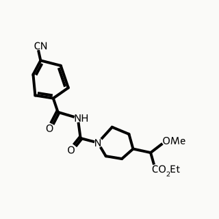 CCOC(=O)C(OC)C1CCN(C(=O)NC(=O)c2ccc(C#N)cc2)CC1